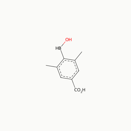 Cc1cc(C(=O)O)cc(C)c1BO